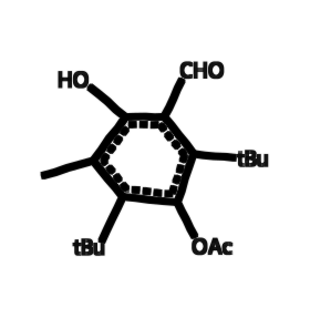 CC(=O)Oc1c(C(C)(C)C)c(C)c(O)c(C=O)c1C(C)(C)C